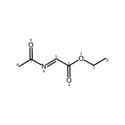 CCOC(=O)C=NC(C)=O